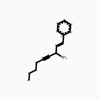 CCCCC#CC(N)C=Cc1ccccc1